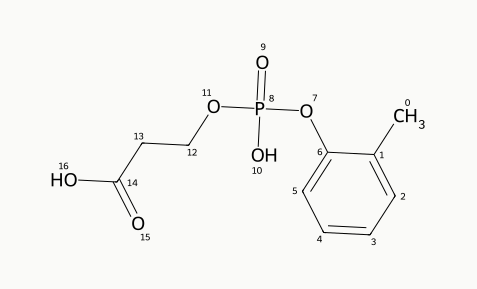 Cc1ccccc1OP(=O)(O)OCCC(=O)O